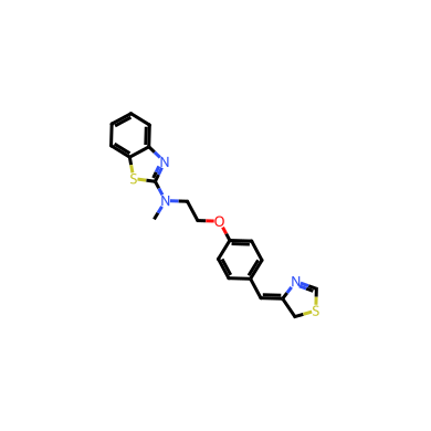 CN(CCOc1ccc(/C=C2/CSC=N2)cc1)c1nc2ccccc2s1